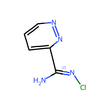 N/C(=N\Cl)c1cccnn1